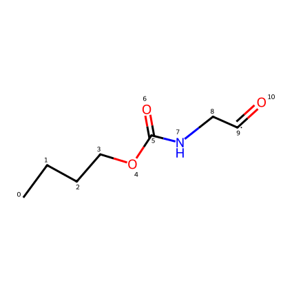 CCCCOC(=O)NC[C]=O